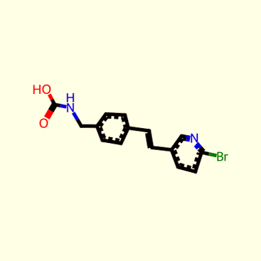 O=C(O)NCc1ccc(C=Cc2ccc(Br)nc2)cc1